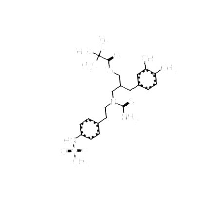 Cc1ccc(CC(COC(=O)C(C)(C)C)CN(CCc2ccc(NS(C)(=O)=O)cc2)C(N)=S)cc1C